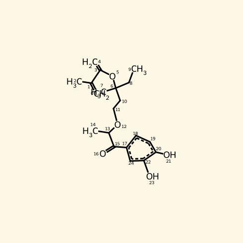 C=C(C)C(=C)OC(C)(CC)CCOC(C)C(=O)c1ccc(O)c(O)c1